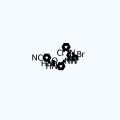 N#Cc1cccc(NC(=O)Nc2cccc(CNc3cc(-c4ccccc4Cl)nc4c(Br)cnn34)c2)c1